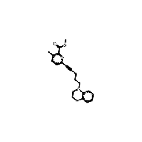 COC(=O)c1nc(C#CCCCN2CCCc3ccccc32)ccc1C